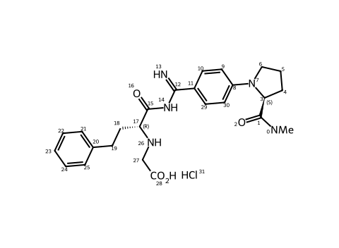 CNC(=O)[C@@H]1CCCN1c1ccc(C(=N)NC(=O)[C@@H](CCc2ccccc2)NCC(=O)O)cc1.Cl